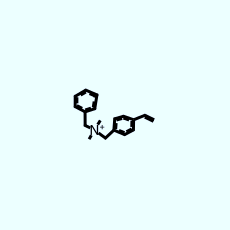 C=Cc1ccc(C[N+](C)(C)Cc2ccccc2)cc1